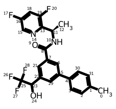 Cc1ccc(-c2cc(C(=O)N[C@H](C)c3ncc(F)cc3F)cc(C(O)C(F)(F)F)c2)cc1